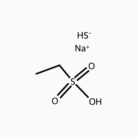 CCS(=O)(=O)O.[Na+].[SH-]